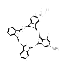 Ic1cccc2c3nc4nc(nc5[nH]c(nc6nc(nc([nH]3)c12)-c1ccccc1-6)c1ccccc51)-c1ccccc1-4.O=S(=O)(O)O.[Cu].[NaH].[NaH].[NaH].[NaH]